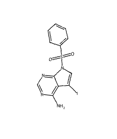 Nc1ncnc2c1c(I)cn2S(=O)(=O)c1ccccc1